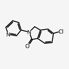 O=C1c2ccc(Cl)cc2CN1c1cccnc1